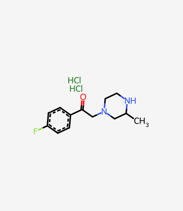 CC1CN(CC(=O)c2ccc(F)cc2)CCN1.Cl.Cl